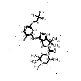 C[C@H]1CN(C)C(C)(C)CN1C(=O)N1Cc2c(Nc3nc(OCC(F)(F)F)ncc3F)n[nH]c2C1(C)C